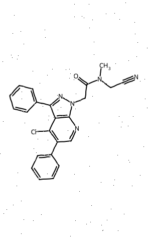 CN(CC#N)C(=O)Cn1nc(-c2ccccc2)c2c(Cl)c(-c3ccccc3)cnc21